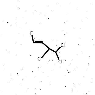 FC=CC(Cl)C(Cl)Cl